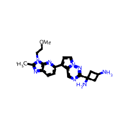 COCCn1c(C)nc2ccc(-c3ccn4nc(C5(N)CC(N)C5)ncc34)nc21